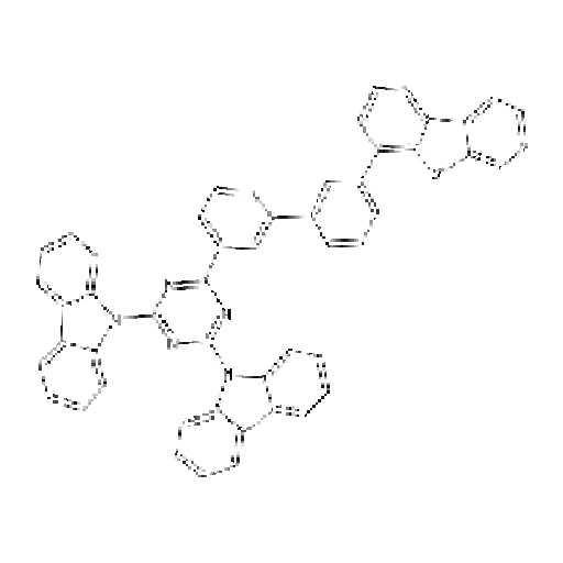 c1cc(-c2cccc(-c3cccc4c3oc3ccccc34)c2)cc(-c2nc(-n3c4ccccc4c4ccccc43)nc(-n3c4ccccc4c4ccccc43)n2)c1